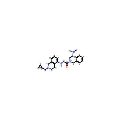 CN(C)CCN(Cc1ccccc1)C(=O)CNc1cccc2c1CCN(CC1CC1)C2